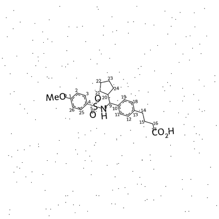 COc1ccc(S(=O)(=O)NC(c2ccc(CCCC(=O)O)cc2)C2CCCC2)cc1